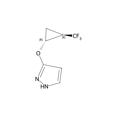 FC(F)(F)[C@@H]1C[C@H]1Oc1cc[nH]n1